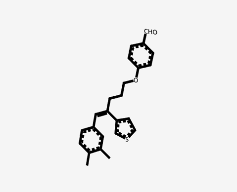 Cc1ccc(/C=C(/CCCOc2ccc(C=O)cc2)c2ccsc2)cc1C